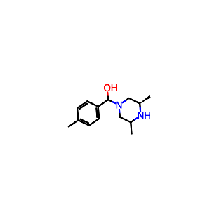 Cc1ccc(C(O)N2CC(C)N[C@H](C)C2)cc1